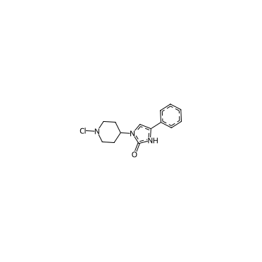 O=c1[nH]c(-c2ccccc2)cn1C1CCN(Cl)CC1